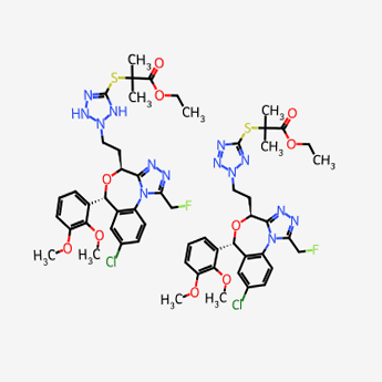 CCOC(=O)C(C)(C)SC1=NNN(CC[C@@H]2O[C@@H](c3cccc(OC)c3OC)c3cc(Cl)ccc3-n3c(CF)nnc32)N1.CCOC(=O)C(C)(C)Sc1nnn(CC[C@@H]2O[C@@H](c3cccc(OC)c3OC)c3cc(Cl)ccc3-n3c(CF)nnc32)n1